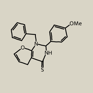 COc1ccc(C2NC(=S)C3=C(OC=CC3)N2Cc2ccccc2)cc1